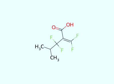 CC(C)C(F)(F)C(C(=O)O)=C(F)F